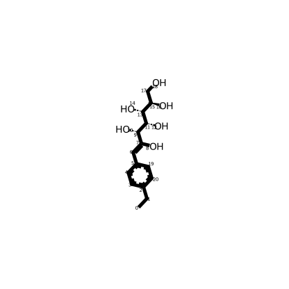 CCc1ccc(C=C(O)[C@H](O)[C@@H](O)[C@H](O)[C@H](O)CO)cc1